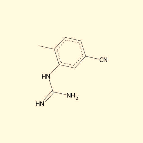 Cc1ccc(C#N)cc1NC(=N)N